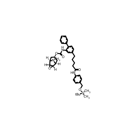 CN1[C@@H]2C[C@@H](OC(=O)Nc3cc(CCCCC(=O)Nc4ccc(CO[Si](C)(C)C(C)(C)C)cc4)ccc3-c3ccccc3)C[C@H]1[C@@H]1O[C@@H]12